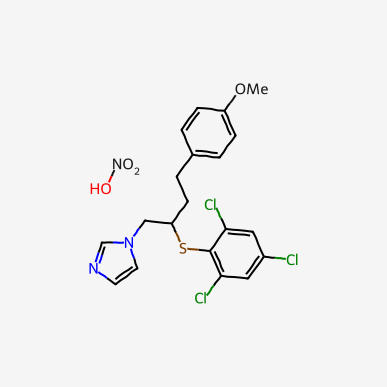 COc1ccc(CCC(Cn2ccnc2)Sc2c(Cl)cc(Cl)cc2Cl)cc1.O=[N+]([O-])O